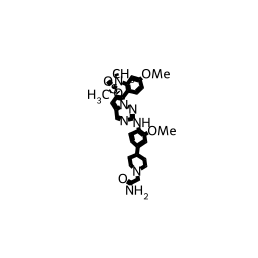 COc1ccc(-c2ccc3cnc(Nc4ccc(C5CCN(CC(N)=O)CC5)cc4OC)nn23)c(N(C)S(C)(=O)=O)c1